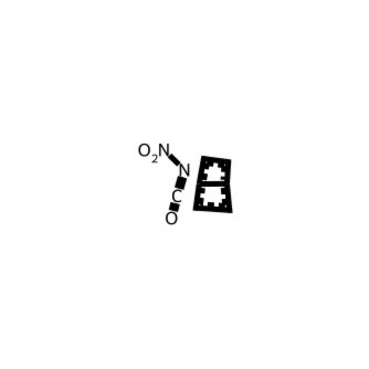 O=C=N[N+](=O)[O-].c1cc2ccc1-2